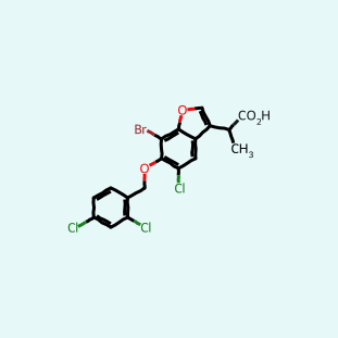 CC(C(=O)O)c1coc2c(Br)c(OCc3ccc(Cl)cc3Cl)c(Cl)cc12